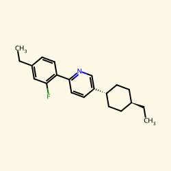 CCc1ccc(-c2ccc([C@H]3CC[C@H](CC)CC3)cn2)c(F)c1